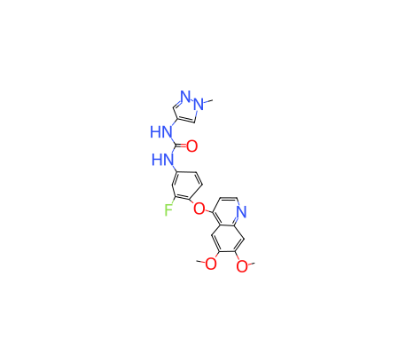 COc1cc2nccc(Oc3ccc(NC(=O)Nc4cnn(C)c4)cc3F)c2cc1OC